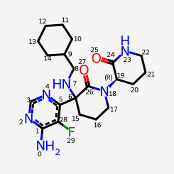 Nc1ncnc(C2(NCC3CCCCC3)CCCN([C@@H]3CCCNC3=O)C2=O)c1F